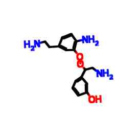 NCCc1ccc(N)c(OOC(CN)c2cccc(O)c2)c1